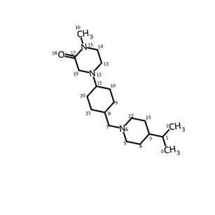 CC(C)C1CCN(CC2CCC(N3CCN(C)C(=O)C3)CC2)CC1